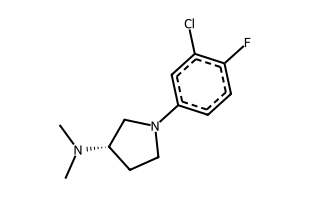 CN(C)[C@H]1CCN(c2ccc(F)c(Cl)c2)C1